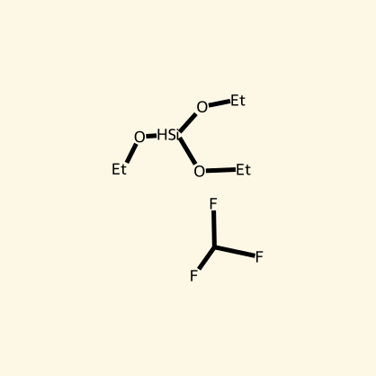 CCO[SiH](OCC)OCC.FC(F)F